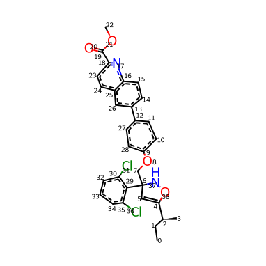 CC[C@H](C)C1=CC(COc2ccc(-c3ccc4nc(C(=O)OC)ccc4c3)cc2)(c2c(Cl)cccc2Cl)NO1